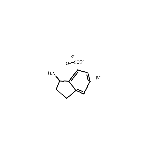 NC1CCc2ccccc21.O=C([O-])[O-].[K+].[K+]